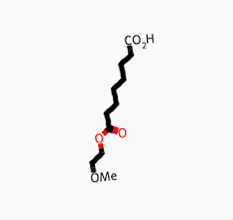 COCCOC(=O)CCCCCCC(=O)O